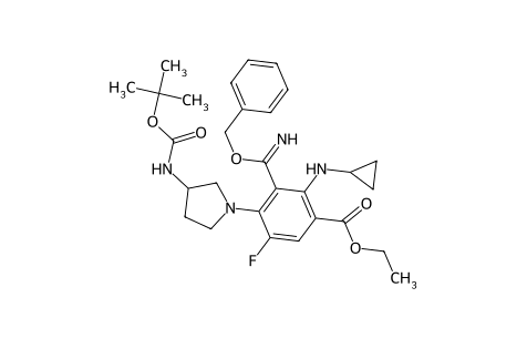 CCOC(=O)c1cc(F)c(N2CCC(NC(=O)OC(C)(C)C)C2)c(C(=N)OCc2ccccc2)c1NC1CC1